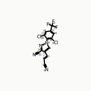 N#C/C=C/c1cn(-c2c(Cl)cc(C(F)(F)F)cc2Cl)nc1C#N